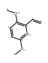 C=Cc1nc(OC)ccc1OC